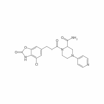 NC(=O)C1CN(c2ccncc2)CCN1C(=O)[CH]Cc1cc(Cl)c2[nH]c(=O)oc2c1